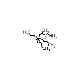 CCCO[Si](CC(C)NCN)(OCCC)OCCC